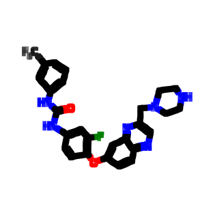 O=C(Nc1cccc(C(F)(F)F)c1)Nc1ccc(Oc2ccc3ncc(CN4CCNCC4)nc3c2)c(F)c1